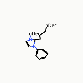 CCCCCCCCCCCCCC1N(CCCCCCCCCC)C=CN1c1ccccc1